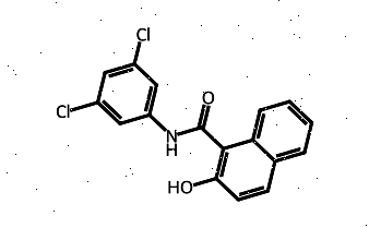 O=C(Nc1cc(Cl)cc(Cl)c1)c1c(O)ccc2ccccc12